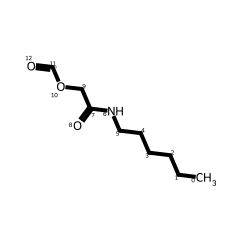 CCCCCCNC(=O)CO[C]=O